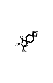 CCCCC1=NC2(CCC3(CC2)COC3)C(=O)N1CC